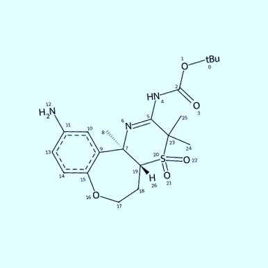 CC(C)(C)OC(=O)NC1=N[C@]2(C)c3cc(N)ccc3OCC[C@H]2S(=O)(=O)C1(C)C